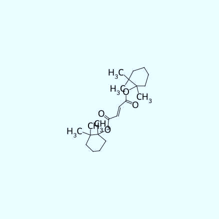 CC1(C)CCCCC1(C)OC(=O)C=CC(=O)OC1(C)CCCCC1(C)C